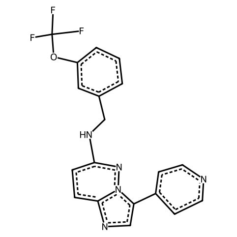 FC(F)(F)Oc1cccc(CNc2ccc3ncc(-c4ccncc4)n3n2)c1